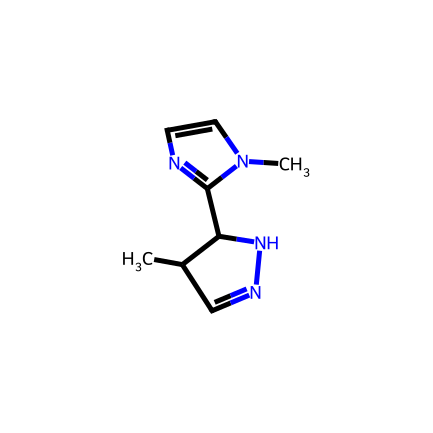 CC1C=NNC1c1nccn1C